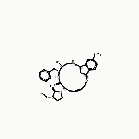 COc1ccc2c(c1)[C@@H]1C[C@H]2OC/C=C\C[C@H](N2CC[C@H](CC(C)C)C2=O)C(=O)N[C@@H](Cc2ccccc2)[C@H](O)CN1